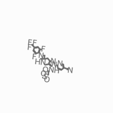 CS(=O)(=O)CC(=O)Nc1c2c(nn1-c1ccc(C#N)cn1)CC1(CN(c3c(F)cc(C(F)(F)F)cc3F)C1)NC2